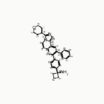 NC1(c2ccc(-c3nc4ccn5c(C6CCOCC6)nnc5c4cc3-c3ccccc3)cc2)CCC1